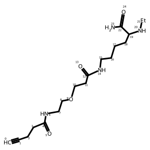 C#CCCC(=O)NCCOCCC(=O)NCCCCC(NCC)C(N)=O